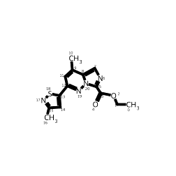 CCOC(=O)c1ncc2c(C)cc(-c3cc(C)ns3)nn12